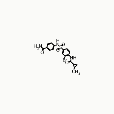 CC1CC1C(=O)Nc1ccc(S(=O)(=O)Nc2ccc(C(N)=O)cc2)cc1Br